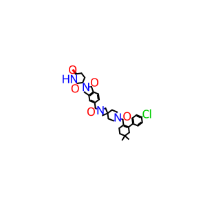 CC1(C)CCC(C(=O)N2CCC3(CC2)CN(C(=O)c2ccc4c(c2)CN(C2CCC(=O)NC2=O)C4=O)C3)=C(c2ccc(Cl)cc2)C1